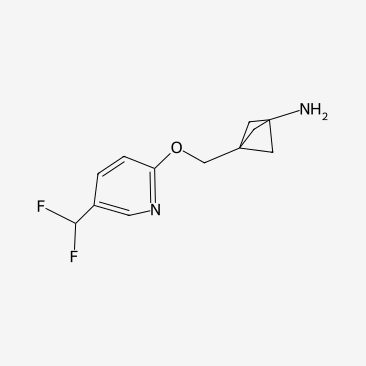 NC12CC(COc3ccc(C(F)F)cn3)(C1)C2